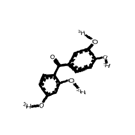 [2H]Oc1ccc(C(=O)c2ccc(O[2H])c(O[2H])c2)c(O[2H])c1